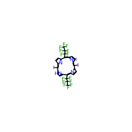 FC(F)(F)C(F)(F)C(F)(F)c1c2nc(c(I)c3ccc([nH]3)c(C(F)(F)C(F)(F)C(F)(F)F)c3nc(c(I)c4ccc1[nH]4)C=C3)C=C2